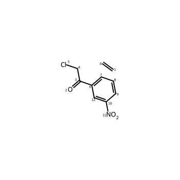 C=C.O=C(CCl)c1cccc([N+](=O)[O-])c1